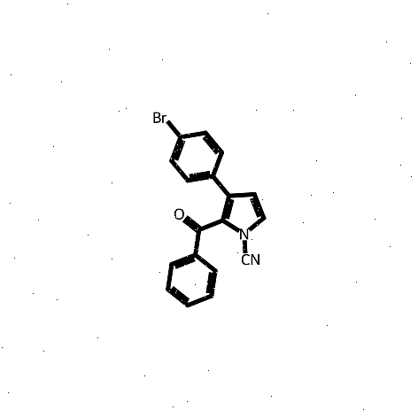 N#Cn1ccc(-c2ccc(Br)cc2)c1C(=O)c1ccccc1